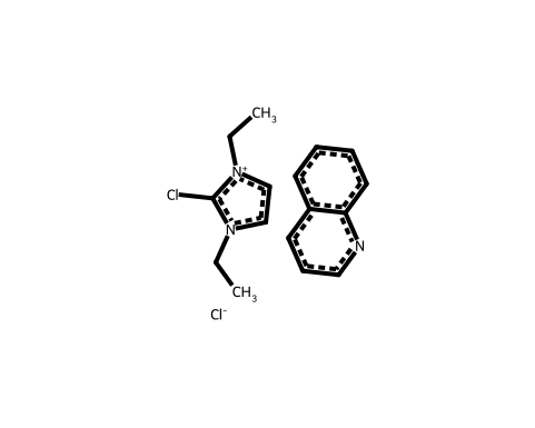 CCn1cc[n+](CC)c1Cl.[Cl-].c1ccc2ncccc2c1